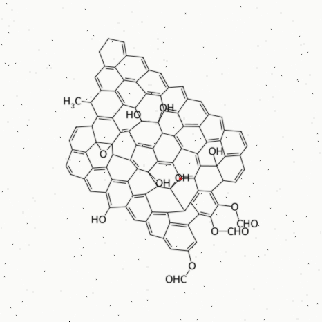 CC1C2=C3C4=C5C6=C7C8=c9c%10c%11c%12c%13c9c9c%14c%15c%16c%17c%18c%19c(cc%20c%21c(cc1c(c%21%19)=C3C%18C5(O)C%16(O)C79)CCC=%20)cc%17cc%15cc1cc3ccc5c(c3c%13c1%14)C%12(O)C(C=C5)c1c(OC=O)c(OC=O)c3c(c1-%11)C1c5c7c-3cc(OC=O)cc7cc3cc7c(O)c9cc%11ccc%12c%13c%11c%11c9c9c7c(c53)C(C8(O)C9=C6C%11C43OC%133C2C=C%12)C%101O